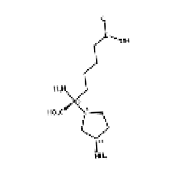 N[C@@H]1CC[C@H]([C@](N)(CCCCB(O)O)C(=O)O)C1